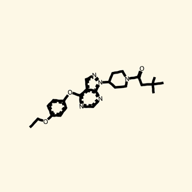 CCOc1ccc(Oc2ncnc3c2cnn3C2CCN(C(=O)CC(C)(C)C)CC2)cc1